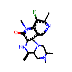 C=C1Nc2c(c3cnc(C)c(F)c3n(C)c2=O)N2CC(C)N(C)CC12